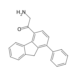 NCC(=O)c1ccc(-c2ccccc2)c2c1-c1ccccc1C2